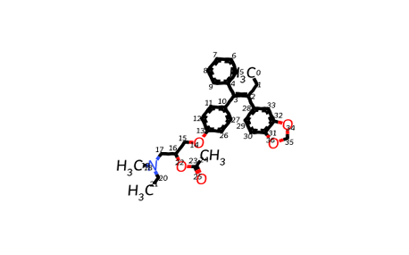 CCC(=C(c1ccccc1)c1ccc(OCC(CN(C)CC)OC(C)=O)cc1)c1ccc2c(c1)OCO2